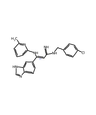 Cc1cccc(N/C(=C\C(=N)NCc2ccc(Cl)cc2)c2ccc3nc[nH]c3c2)n1